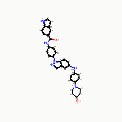 O=C(Nc1ccc(-n2ncc3cc(Nc4ccc(N5CCC(O)CC5)cc4)ccc32)cc1)c1ccc2[nH]ccc2c1